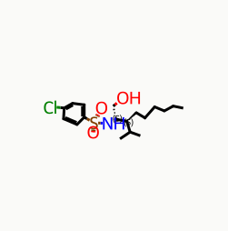 CCCCCC[C@@H](C(C)C)[C@@H](CO)NS(=O)(=O)c1ccc(Cl)cc1